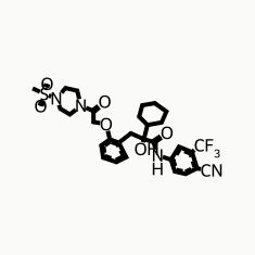 CS(=O)(=O)N1CCN(C(=O)COc2ccccc2CC(O)(C(=O)Nc2ccc(C#N)c(C(F)(F)F)c2)C2CCCCC2)CC1